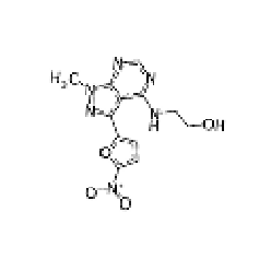 Cn1nc(-c2ccc([N+](=O)[O-])o2)c2c(NCCO)ncnc21